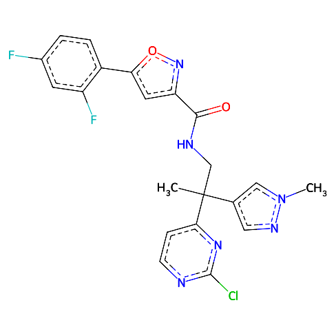 Cn1cc(C(C)(CNC(=O)c2cc(-c3ccc(F)cc3F)on2)c2ccnc(Cl)n2)cn1